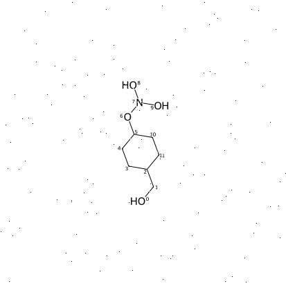 OCC1CCC(ON(O)O)CC1